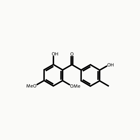 COc1cc(O)c(C(=O)c2ccc(C)c(O)c2)c(OC)c1